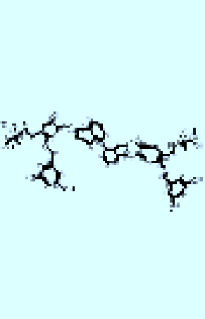 C[C@@](CO)(NCc1cc(Cl)c(O[C@H]2CCc3c(-c4cccc5c4CC[C@@H]5Oc4nc(OCc5cc(C#N)cc(C#N)c5)c(CN[C@@](C)(CO)C(=O)O)cc4Cl)cccc32)nc1OCc1cc(C#N)cc(C#N)c1)C(=O)O